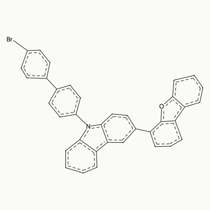 Brc1ccc(-c2ccc(-n3c4ccccc4c4cc(-c5cccc6c5oc5ccccc56)ccc43)cc2)cc1